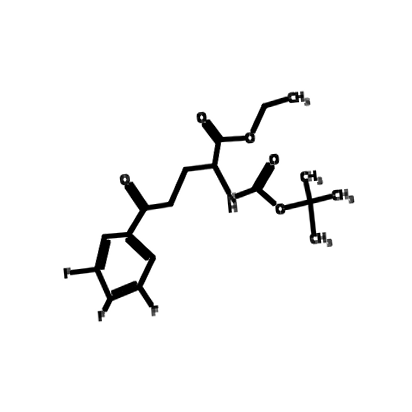 CCOC(=O)C(CCC(=O)c1cc(F)c(F)c(F)c1)NC(=O)OC(C)(C)C